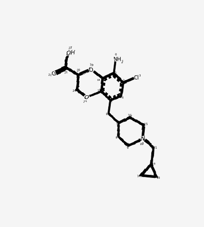 Nc1c(Cl)cc(CC2CCN(CC3CC3)CC2)c2c1OC(C(=O)O)CO2